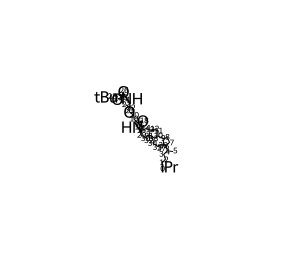 CC(C)CCCC(C)C1CCC2C3CC=C4CC(NC(=O)CCOCCNC(=O)OC(C)(C)C)CCC4(C)C3CCC12C